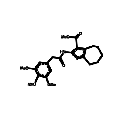 COC(=O)c1c(NC(=O)Cc2cc(OC)c(OC)c(OC)c2)sc2c1CCCCC2